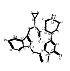 C=CCn1cc(CN(C(=O)[C@@H]2CNCC[C@H]2c2ccn(C)c(=O)c2)C2CC2)c2ccccc21